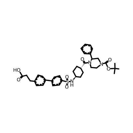 CC(C)(C)OC(=O)N1CCN(C(=O)[C@H]2CC[C@H](NS(=O)(=O)c3ccc(-c4ccc(CCC(=O)O)cc4)cc3)CC2)C(c2ccccc2)C1